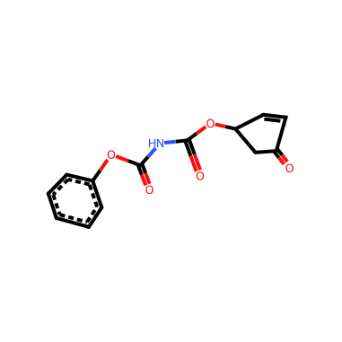 O=C1C=CC(OC(=O)NC(=O)Oc2ccccc2)C1